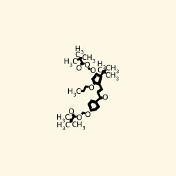 CCCOc1cc(OCOC(=O)C(C)(C)C)c(C(C)(C)C)cc1C=CC(=O)c1ccc(OCOC(=O)C(C)(C)C)cc1